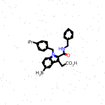 Bc1ccc2c(c1)c(CC(=O)O)c(C(=O)NCc1ccccc1)n2Cc1ccc(C(C)C)cc1